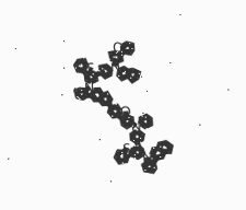 c1ccc(N(c2ccc(-c3cc(-n4c5ccccc5c5cc6ccccc6cc54)cc4c3sc3ccccc34)cc2)c2ccc3c(c2)oc2cc(-c4ccc5cc6c(cc5c4)c4ccccc4n6-c4cc(-c5ccc(N(c6ccc7ccccc7c6)c6ccc7oc8ccccc8c7c6)cc5)c5sc6ccccc6c5c4)ccc23)cc1